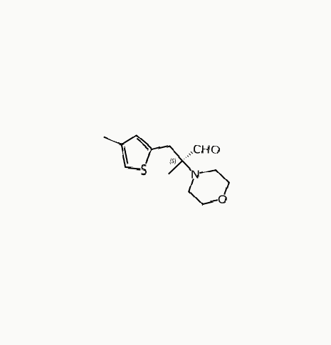 Cc1csc(C[C@@](C)(C=O)N2CCOCC2)c1